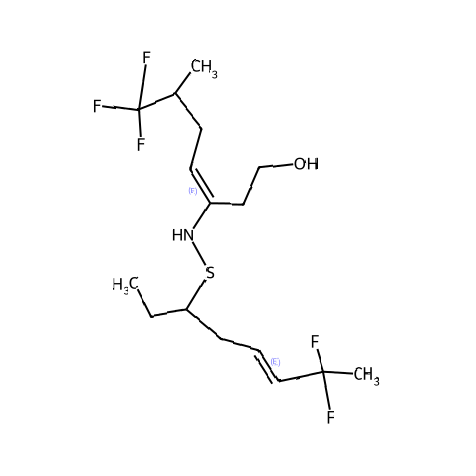 CCC(C/C=C/C(C)(F)F)SN/C(=C/CC(C)C(F)(F)F)CCO